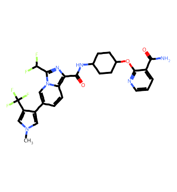 Cn1cc(-c2ccc3c(C(=O)NC4CCC(Oc5ncccc5C(N)=O)CC4)nc(C(F)F)n3c2)c(C(F)(F)F)c1